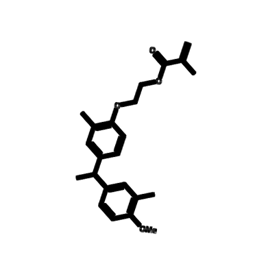 C=C(C)C(=O)OCCOc1ccc(C(C)c2ccc(OC)c(C)c2)cc1C